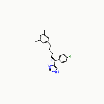 Cc1cc(C)cc(CCC/C=C(\c2ccc(F)cc2)c2c[nH]cn2)c1